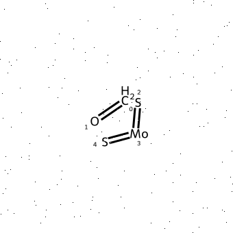 C=O.[S]=[Mo]=[S]